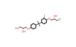 CC(C)(c1ccc(OC[C@H](O)CO)cc1)c1ccc(OC[C@H](O)CCl)c(I)c1